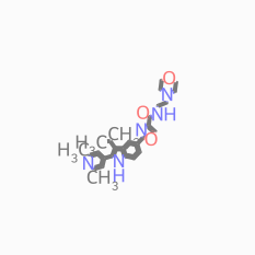 Cc1cc(-c2[nH]c3ccc(-c4nc(C(=O)NCCN5CCOCC5)co4)cc3c2C(C)C)cc(C)n1